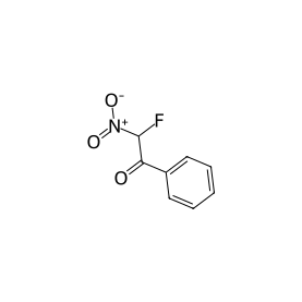 O=C(c1ccccc1)C(F)[N+](=O)[O-]